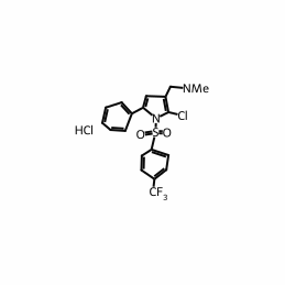 CNCc1cc(-c2ccccc2)n(S(=O)(=O)c2ccc(C(F)(F)F)cc2)c1Cl.Cl